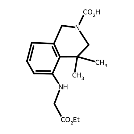 CCOC(=O)CNc1cccc2c1C(C)(C)CN(C(=O)O)C2